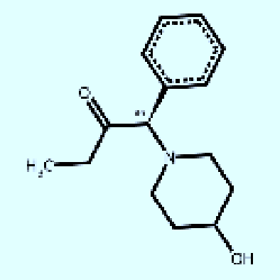 CCC(=O)[C@@H](c1ccccc1)N1CCC(O)CC1